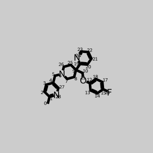 Cc1ccc(CN2CCC(COc3ccc(F)cc3)(c3ccccn3)CC2)cn1